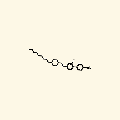 CCCCCCCCCC1CCC(CCc2ccc(-c3ccc(C#N)cc3)c(F)c2)CC1